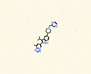 Cc1cc(-c2[nH]c3ccc(C4CCN(Cc5cnccn5)CC4)cc3c2C(C)C)cn2ncnc12